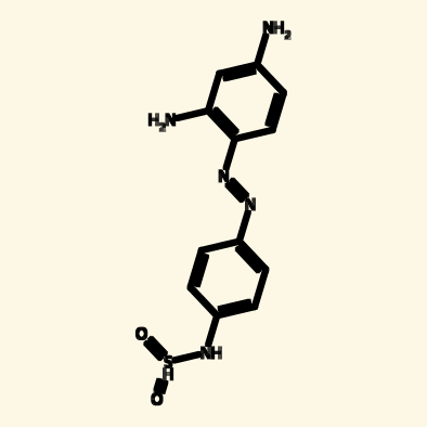 Nc1ccc(N=Nc2ccc(N[SH](=O)=O)cc2)c(N)c1